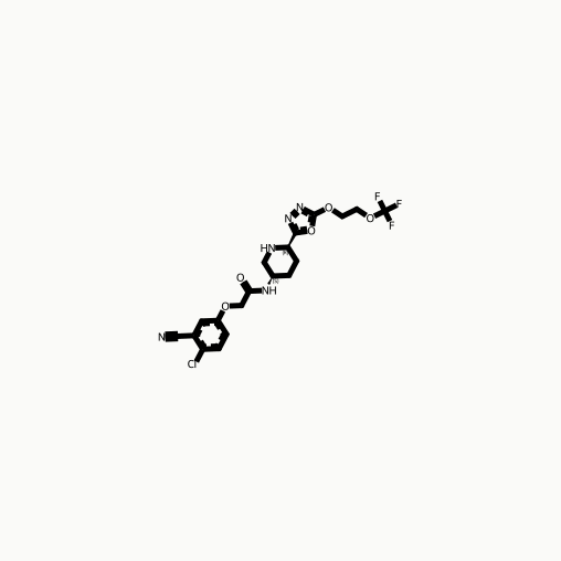 N#Cc1cc(OCC(=O)N[C@H]2CC[C@H](c3nnc(OCCOC(F)(F)F)o3)NC2)ccc1Cl